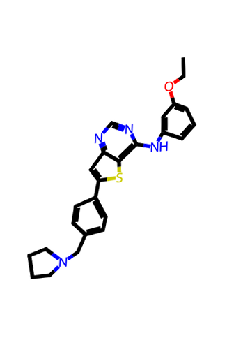 CCOc1cccc(Nc2ncnc3cc(-c4ccc(CN5CCCC5)cc4)sc23)c1